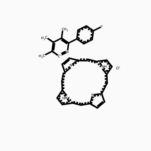 C1=Cc2cc3ccc(cc4nc(cc5ccc(cc1n2)[nH]5)C=C4)[nH]3.CC1=C(C)C(C)=C(c2ccc(F)cc2)N=[C+]1.[Cl-]